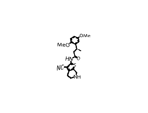 COc1ccc(OC)c([C@@H](C)CC(=O)Nc2sc3c(c2C#N)CCNC3)c1